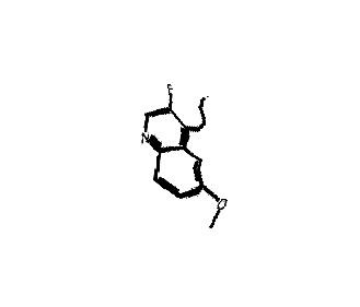 [CH2]Cc1c(F)cnc2ccc(OC)cc12